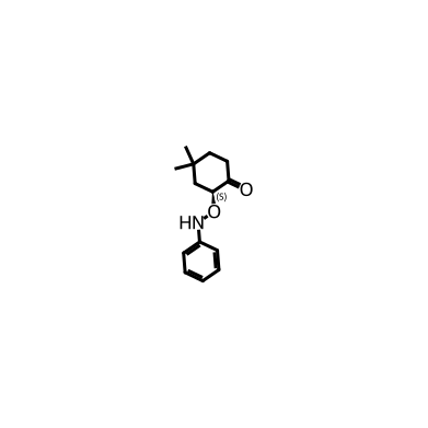 CC1(C)CCC(=O)[C@@H](ONc2ccccc2)C1